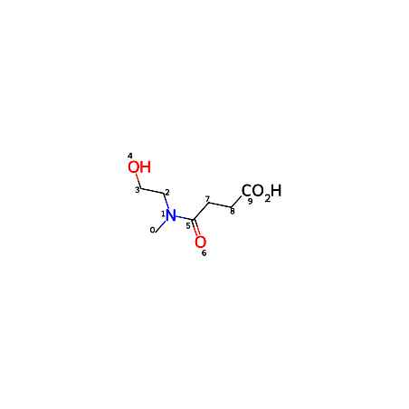 CN(CCO)C(=O)CCC(=O)O